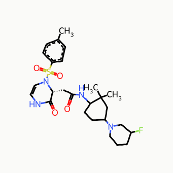 Cc1ccc(S(=O)(=O)N2C=CNC(=O)[C@H]2CC(=O)NC2CCC(N3CCCC(F)C3)CC2(C)C)cc1